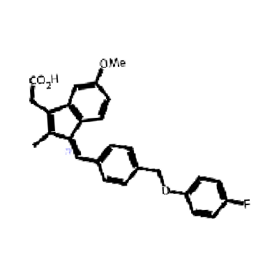 COc1ccc2c(c1)C(CC(=O)O)=C(C)/C2=C/c1ccc(COc2ccc(F)cc2)cc1